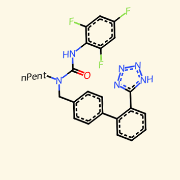 CCCCCN(Cc1ccc(-c2ccccc2-c2nnn[nH]2)cc1)C(=O)Nc1c(F)cc(F)cc1F